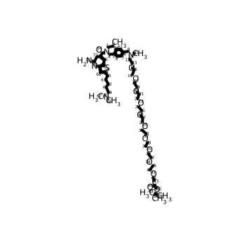 CCCN(Cc1ccc(CN(C)CCOCCOCCOCCOCCOCCOCCOCCOCCOCCOCCC(=O)OC(C)(C)C)cc1)C(=O)C1=Cc2sc(CCCCCN(C)C)cc2N=C(N)C1